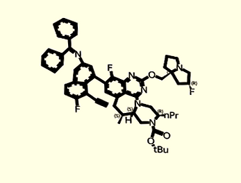 C#Cc1c(F)ccc2cc(N=C(c3ccccc3)c3ccccc3)cc(-c3cc4c5c(nc(OC[C@@]67CCCN6C[C@H](F)C7)nc5c3F)N3C[C@@H](CCC)N(C(=O)OC(C)(C)C)C[C@@H]3[C@@H](C)C4)c12